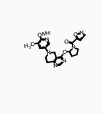 COc1ncc(N2CCc3ncnc(OC4CCCN4C(=O)c4ccno4)c3C2)cc1C